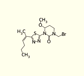 CCC/C=C(/C)c1nnc(N2C(=O)N(CBr)CCC2OC)s1